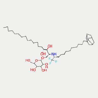 CCCCCCCCCCCCCC[C@@H](O)[C@@H](O)[C@H](COC1OC(CO)C(O)C(O)C1O)N[C@@H](CCCCCCCCCCC12CC3CC(CC(C3)C1)C2)C(F)(F)F